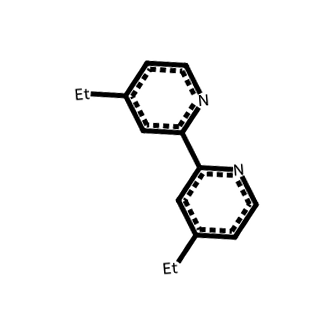 CCc1ccnc(-c2cc(CC)ccn2)c1